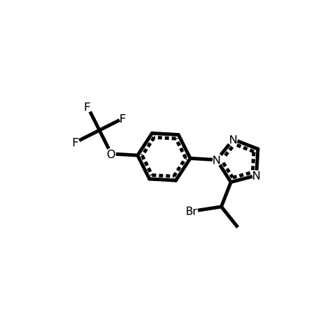 CC(Br)c1ncnn1-c1ccc(OC(F)(F)F)cc1